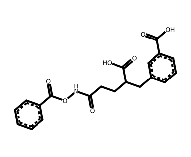 O=C(CCC(Cc1cccc(C(=O)O)c1)C(=O)O)NOC(=O)c1ccccc1